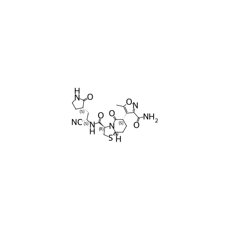 Cc1onc(C(N)=O)c1[C@@H]1CC[C@@H]2SC[C@@H](C(=O)N[C@H](C#N)C[C@@H]3CCNC3=O)N2C1=O